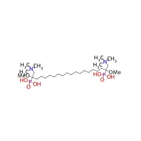 COC(CCCCCCCCCCCCCCCCC(C[N+](C)(C)C)(OC)P(=O)(O)O)(C[N+](C)(C)C)P(=O)(O)O